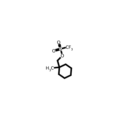 CC1(COS(=O)(=O)C(F)(F)F)CCCCC1